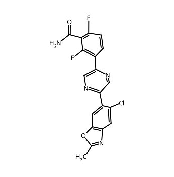 Cc1nc2cc(Cl)c(-c3cnc(-c4ccc(F)c(C(N)=O)c4F)cn3)cc2o1